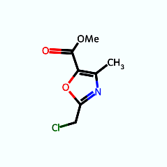 COC(=O)c1oc(CCl)nc1C